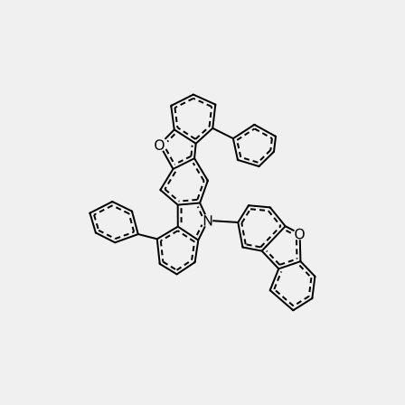 c1ccc(-c2cccc3oc4cc5c6c(-c7ccccc7)cccc6n(-c6ccc7oc8ccccc8c7c6)c5cc4c23)cc1